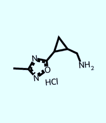 Cc1noc(C2CC2CN)n1.Cl